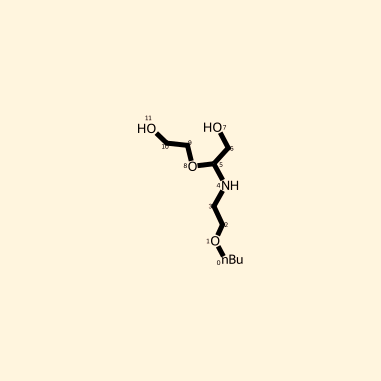 CCCCOCCNC(CO)OCCO